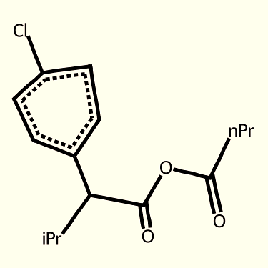 CCCC(=O)OC(=O)C(c1ccc(Cl)cc1)C(C)C